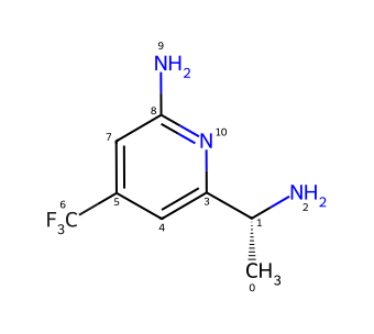 C[C@@H](N)c1cc(C(F)(F)F)cc(N)n1